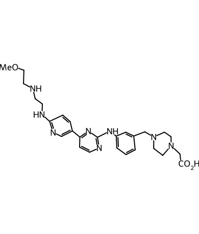 COCCNCCNc1ccc(-c2ccnc(Nc3cccc(CN4CCN(CC(=O)O)CC4)c3)n2)cn1